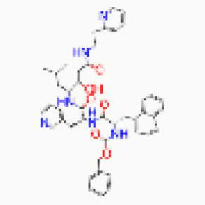 CC(C)CC(NC(=O)[C@H](Cc1cccnc1)NC(=O)[C@H](Cc1cccc2ccccc12)NC(=O)OCc1ccccc1)C(O)CC(=O)NCCc1ccccn1